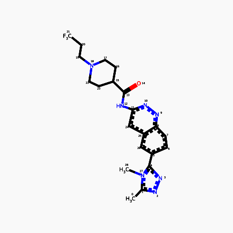 Cc1nnc(-c2ccc3nnc(NC(=O)C4CCN(CCC(F)(F)F)CC4)cc3c2)n1C